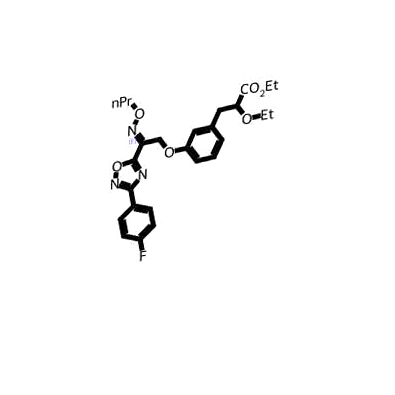 CCCO/N=C(\COc1cccc(CC(OCC)C(=O)OCC)c1)c1nc(-c2ccc(F)cc2)no1